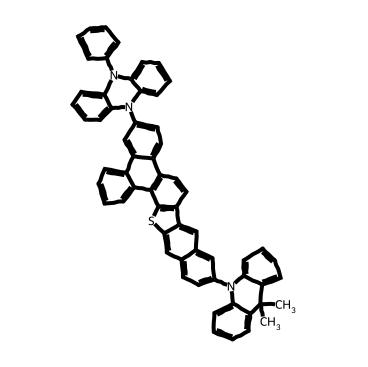 CC1(C)c2ccccc2N(c2ccc3cc4sc5c(ccc6c7ccc(N8c9ccccc9N(c9ccccc9)c9ccccc98)cc7c7ccccc7c65)c4cc3c2)c2ccccc21